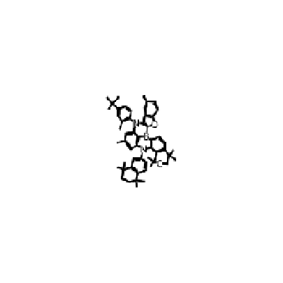 Cc1cc2c3c(c1)N(c1ccc(C(C)(C)C)cc1C)c1c(oc4ccc(C)cc14)B3c1ccc3c(c1N2c1ccc2c(c1)C(C)(C)CCC2(C)C)C(C)(C)CCC3(C)C